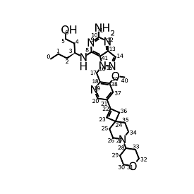 CCC[C@@H](CCO)Nc1nc(N)nc2cnn(Cc3ncc(C4=CC5(CCN(C6CCOCC6)CC5)C4)cc3OC)c12